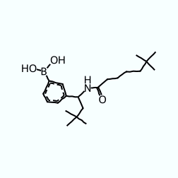 CC(C)(C)CCCCC(=O)NC(CC(C)(C)C)c1cccc(B(O)O)c1